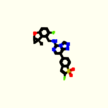 O=S1(=O)C(F)=Cc2cc(-c3cnc(NCc4c(F)ccc5c4[C@H]4CC4O5)n4cnnc34)ccc21